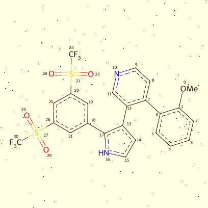 COc1ccccc1-c1ccncc1-c1cc[nH]c1-c1cc(S(=O)(=O)C(F)(F)F)cc(S(=O)(=O)C(F)(F)F)c1